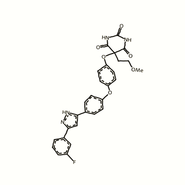 COCCC1(Oc2ccc(Oc3ccc(-c4cc(-c5cccc(F)c5)n[nH]4)cc3)cc2)C(=O)NC(=O)NC1=O